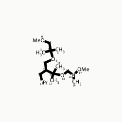 COCC(C)(C)OCC(CC(C)C)C(C)(C)OCN(C)OC